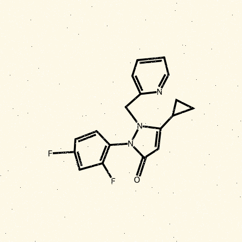 O=c1cc(C2CC2)n(Cc2ccccn2)n1-c1ccc(F)cc1F